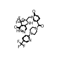 C[C@@H](Cn1cc(C(=O)N2CCN(c3ccc(C(F)(F)F)cn3)CC2)ccc1=O)Nc1cn[nH]c(=O)c1C(F)(F)F